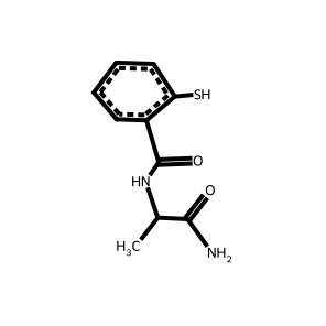 CC(NC(=O)c1ccccc1S)C(N)=O